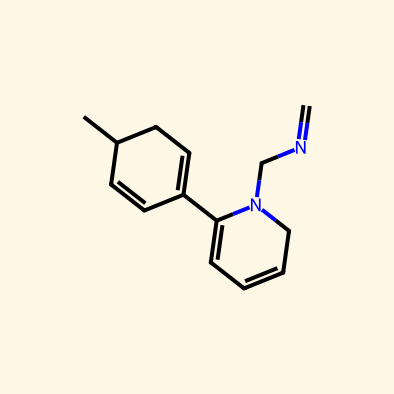 C=NCN1CC=CC=C1C1=CCC(C)C=C1